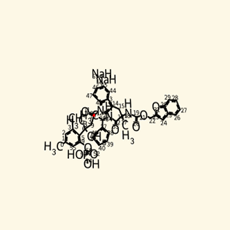 Cc1cc(C)c(C(C)(C)CC(=O)n2cc(CC(C)(NC(=O)OCc3cc4ccccc4o3)C(=O)NC(C)c3ccccc3)c3ccccc32)c(OP(=O)(O)O)c1.[NaH].[NaH]